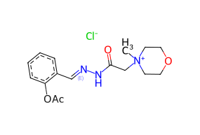 CC(=O)Oc1ccccc1/C=N/NC(=O)C[N+]1(C)CCOCC1.[Cl-]